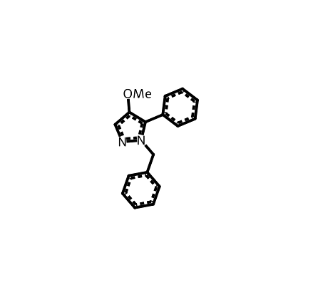 COc1cnn(Cc2ccccc2)c1-c1ccccc1